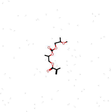 C=C(C)C(=O)OCC(C)OC(=O)OCC(C)OC